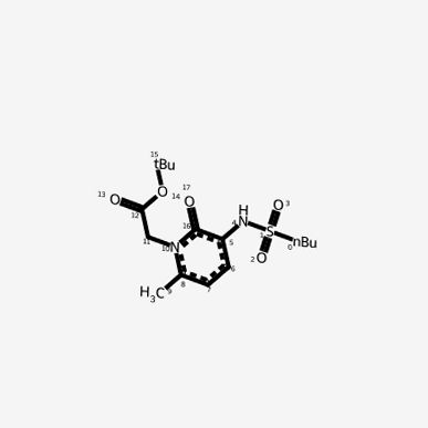 CCCCS(=O)(=O)Nc1ccc(C)n(CC(=O)OC(C)(C)C)c1=O